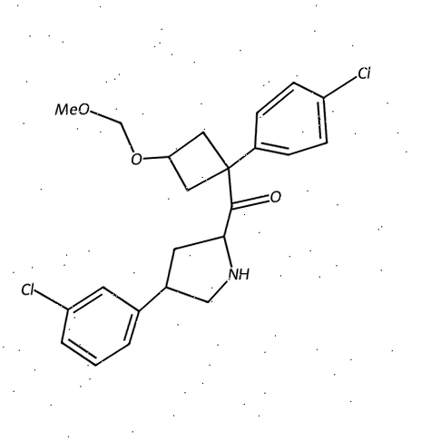 COCOC1CC(C(=O)C2CC(c3cccc(Cl)c3)CN2)(c2ccc(Cl)cc2)C1